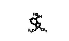 CCn1c(C)nc2c(NO)cccc21